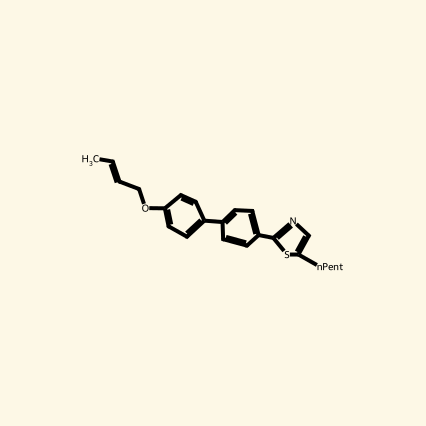 CC=CCOc1ccc(-c2ccc(-c3ncc(CCCCC)s3)cc2)cc1